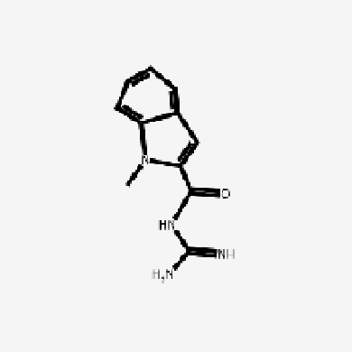 Cn1c(C(=O)NC(=N)N)cc2ccccc21